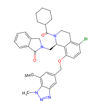 COc1cc(COc2ccc(Br)c3c2[C@@H](CN2Cc4ccccc4C2=O)N(C(=O)C2CCCCC2)CC3)cc2nnn(C)c12